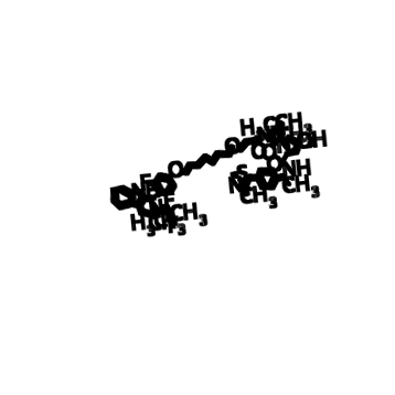 Cc1ncsc1-c1ccc([C@H](C)NC(=O)[C@@H]2C[C@@H](O)CN2C(=O)[C@@H](NC(=O)CCOCCCCCCCOc2cc(F)c([C@@H]3c4[nH]c5ccccc5c4C[C@@H](C)N3CC(C)(C)F)c(F)c2)C(C)(C)C)cc1